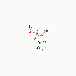 CCOC(=O)C(C)C[Si](C)(OCC)OCC